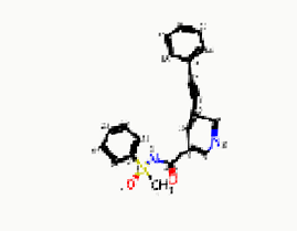 CS(=O)(=NC(=O)c1cncc(C#Cc2ccccc2)c1)c1ccccc1